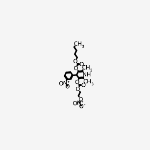 CCCCCOC(=O)OC1=C(C)NC(C)=C(OC(=O)OCCO[N+](=O)[O-])C1c1cccc([N+](=O)[O-])c1